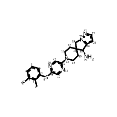 Cc1c(F)cccc1Sc1cnc(N2CCC3(CC2)Cn2nccc2[C@H]3N)cn1